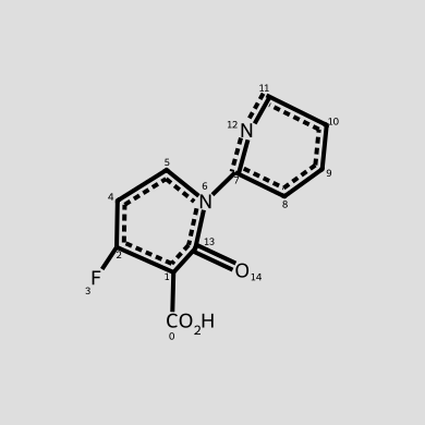 O=C(O)c1c(F)ccn(-c2ccccn2)c1=O